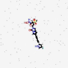 C[C@@](CCN1Cc2cc(C#CC#C[C@@H]3C[C@H](F)CN3)cn2C1=O)(C(=O)NO)S(C)(=O)=O